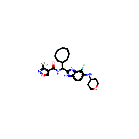 Cc1nocc1C(=O)NC(c1nc2c(F)c(NC3CCOCC3)ccc2[nH]1)C1CCCCCCC1